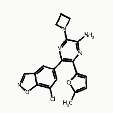 Cc1ccc(-c2nc(N)c(N3CCC3)nc2-c2cc(Cl)c3oncc3c2)o1